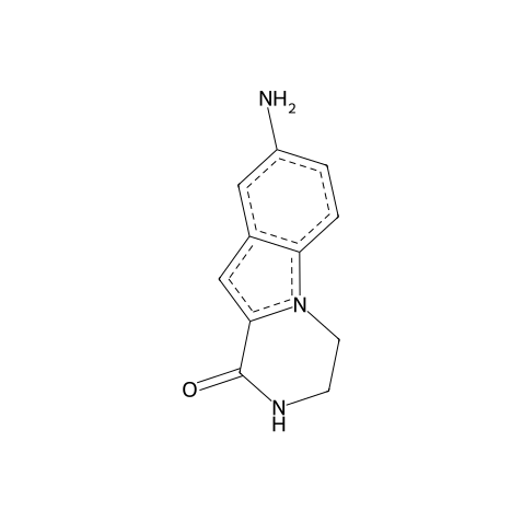 Nc1ccc2c(c1)cc1n2CCNC1=O